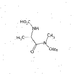 CON(C)C(=O)[C@H](C)NC(=O)O